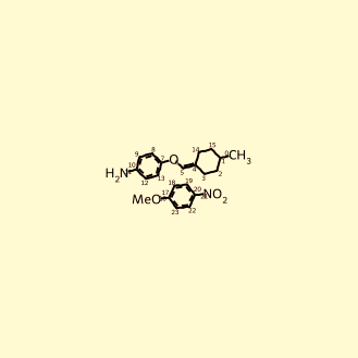 CC1CCC(=COc2ccc(N)cc2)CC1.COc1ccc([N+](=O)[O-])cc1